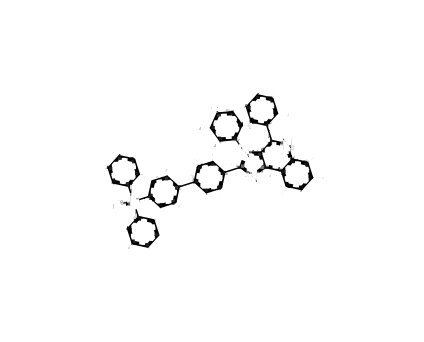 O=P(c1ccccc1)(c1ccccc1)c1ccc(-c2ccc(-c3nc4c5ccccc5nc(-c5ccccc5)c4n3-c3ccccc3)cc2)cc1